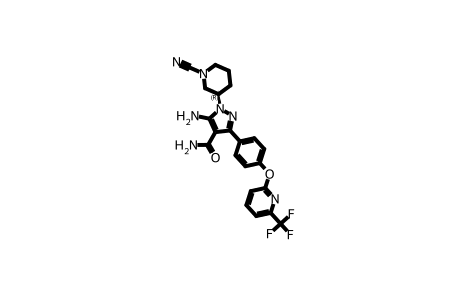 N#CN1CCC[C@@H](n2nc(-c3ccc(Oc4cccc(C(F)(F)F)n4)cc3)c(C(N)=O)c2N)C1